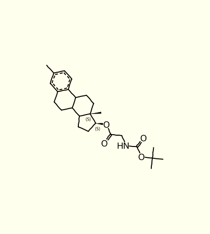 Cc1ccc2c(c1)CCC1C2CC[C@@]2(C)C1CC[C@@H]2OC(=O)CNC(=O)OC(C)(C)C